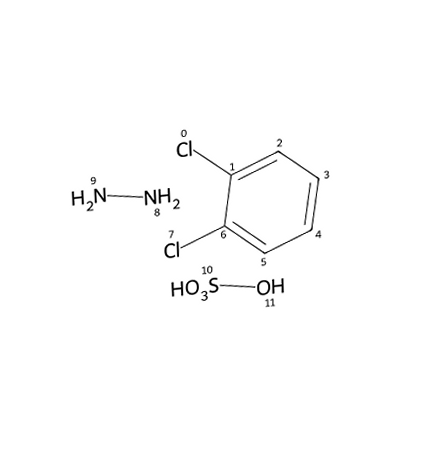 Clc1ccccc1Cl.NN.O=S(=O)(O)O